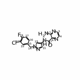 Nc1nccnc1C(=O)Nc1cnn(Cc2ccc(F)c(Cl)c2)c1